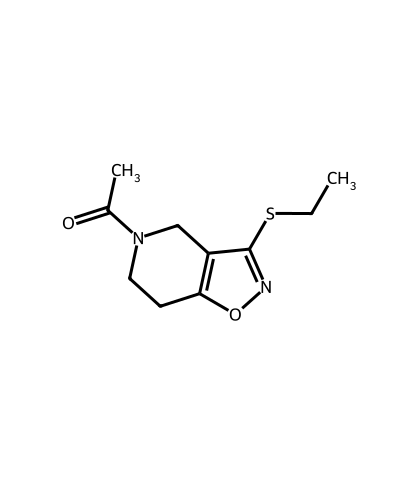 CCSc1noc2c1CN(C(C)=O)CC2